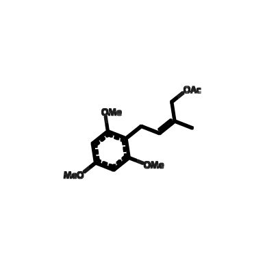 COc1cc(OC)c(CC=C(C)COC(C)=O)c(OC)c1